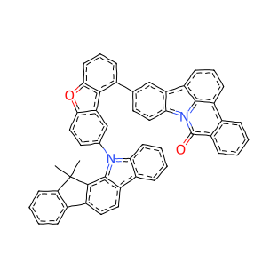 CC1(C)c2ccccc2-c2ccc3c4ccccc4n(-c4ccc5oc6cccc(-c7ccc8c(c7)c7cccc9c%10ccccc%10c(=O)n8c97)c6c5c4)c3c21